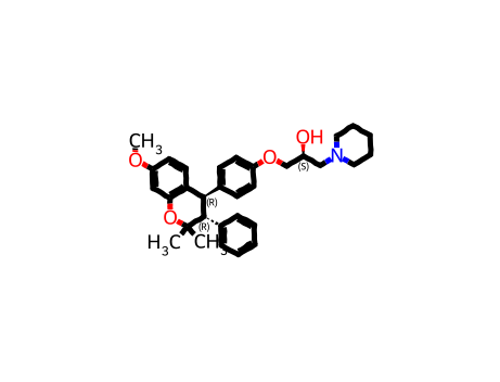 COc1ccc2c(c1)OC(C)(C)[C@@H](c1ccccc1)[C@@H]2c1ccc(OC[C@@H](O)CN2CCCCC2)cc1